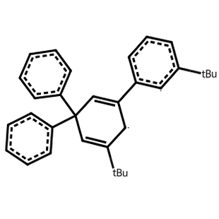 CC(C)(C)C1=CC(c2ccccc2)(c2ccccc2)C=C(c2[c]c(C(C)(C)C)ccc2)[CH]1